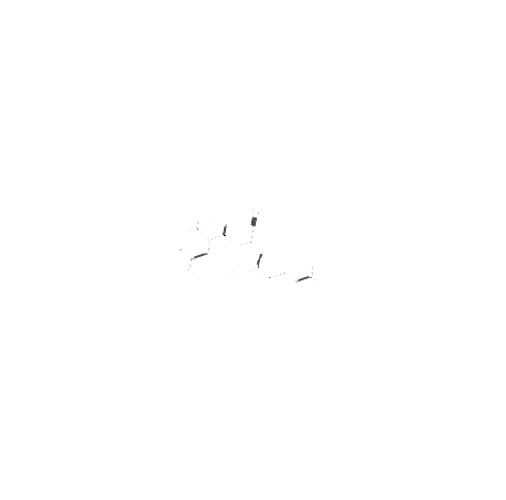 CC(C)=CCCC(C)=CC(C#N)OC(=O)C(C=C(Cl)Cl)C(C)C